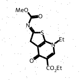 CCOC(=O)c1cn(CC)c2c(c1=O)CC(=NC(=O)OC)S2